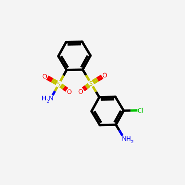 Nc1ccc(S(=O)(=O)c2ccccc2S(N)(=O)=O)cc1Cl